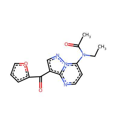 CCN(C(C)=O)c1ccnc2c(C(=O)c3ccco3)cnn12